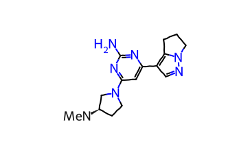 CN[C@@H]1CCN(c2cc(-c3cnn4c3CCC4)nc(N)n2)C1